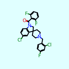 O=C(c1c(F)cccc1F)N1CC2(CCN(Cc3ccc(F)cc3Cl)CC2)c2cc(Cl)ccc21